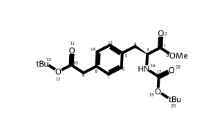 COC(=O)[C@H](Cc1ccc(CC(=O)OC(C)(C)C)cc1)NC(=O)OC(C)(C)C